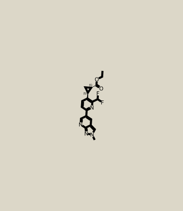 CCOC(=O)[C@H]1C[C@@H]1c1ccc(-c2cnc3nn(C)cc3c2)nc1C(F)F